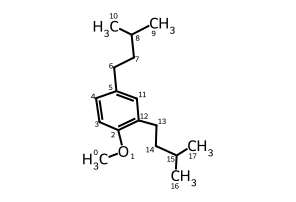 COc1ccc(CCC(C)C)cc1CCC(C)C